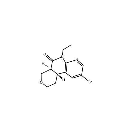 CCN1C(=O)[C@@H]2COCC[C@H]2c2cc(Br)cnc21